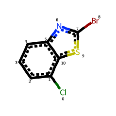 Clc1cccc2nc(Br)sc12